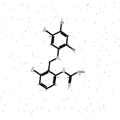 CCc1cc(Br)c(OCc2c(Cl)cccc2OC(=O)OC)cc1Cl